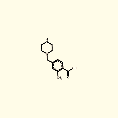 Cc1cc(CN2CCNCC2)ccc1C(=O)O